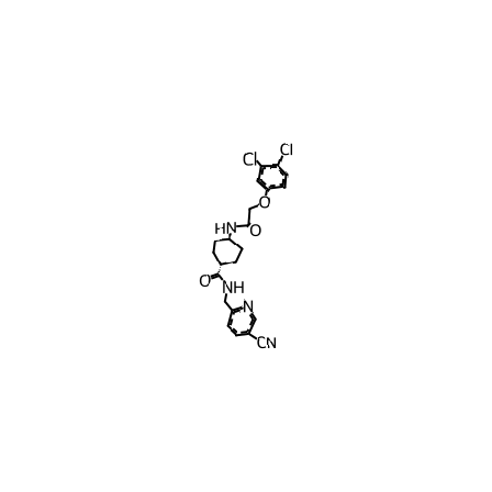 N#Cc1ccc(CNC(=O)[C@H]2CC[C@H](NC(=O)COc3ccc(Cl)c(Cl)c3)CC2)nc1